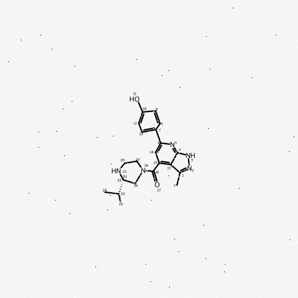 Cc1n[nH]c2nc(-c3ccc(O)cc3)cc(C(=O)N3CCN[C@@H](C(C)C)C3)c12